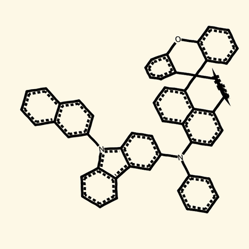 c1ccc(N(c2ccc3c(c2)c2ccccc2n3-c2ccc3ccccc3c2)c2ccc3c4c(cccc24)C2(c4ccccc4Oc4ccccc42)c2ccccc2-3)cc1